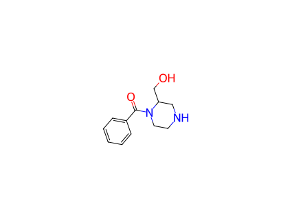 O=C(c1ccccc1)N1CCNCC1CO